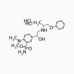 CC(COc1ccccc1)NCC(O)c1ccc(N(C)C)c(S(N)(=O)=O)c1.Cl.Cl